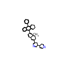 CC12C=C(c3c4c(c(-c5ccccc5)c5ccccc35)=CCCC=4)C=CC1C=C(C1=CN=CC(C3C=CN=CC3)C1)CC2